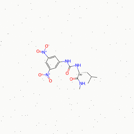 CNC(=O)[C@@H](CC(C)C)NC(=O)Nc1cc([N+](=O)[O-])cc([N+](=O)[O-])c1